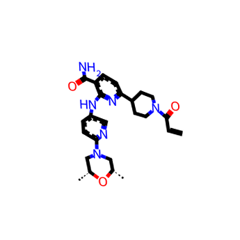 C=CC(=O)N1CCC(c2ccc(C(N)=O)c(Nc3ccc(N4C[C@@H](C)O[C@@H](C)C4)nc3)n2)CC1